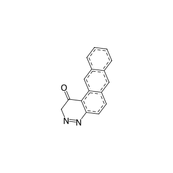 O=C1CN=Nc2ccc3cc4ccccc4cc3c21